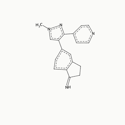 Cn1cc(-c2ccc3c(c2)CCC3=N)c(-c2ccncc2)n1